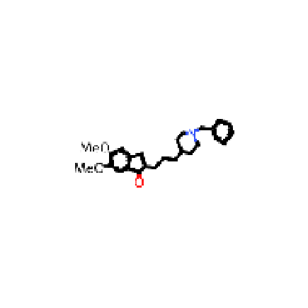 COc1cc2c(cc1OC)C(=O)C(CCCC1CCN(Cc3ccccc3)CC1)C2